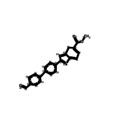 COC(=O)C1=CC=C2N=C(c3ccc(-c4ccc(C=O)cc4)cc3)N=C2C1